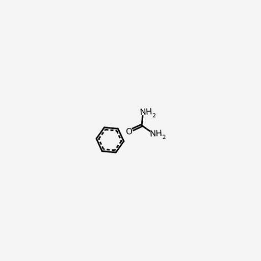 NC(N)=O.c1ccccc1